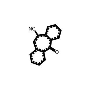 N#Cc1cc2ccccc2c(=O)c2ccccc12